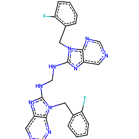 Fc1ccccc1Cn1c(NCNc2nc3cncnc3n2Cc2ccccc2F)nc2cncnc21